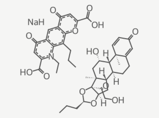 CCC[C@@H]1O[C@@H]2C[C@H]3[C@@H]4CCC5=CC(=O)C=C[C@]5(C)[C@H]4[C@@H](O)C[C@]3(C)[C@]2(C(=O)CO)O1.CCCc1c2oc(C(=O)O)cc(=O)c2cc2c(=O)cc(C(=O)O)n(CC)c12.[NaH]